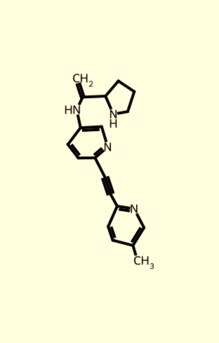 C=C(Nc1ccc(C#Cc2ccc(C)cn2)nc1)C1CCCN1